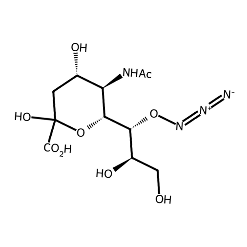 CC(=O)N[C@H]1[C@H]([C@H](ON=[N+]=[N-])[C@H](O)CO)OC(O)(C(=O)O)C[C@@H]1O